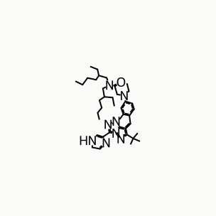 CCCCC(CC)CN(CC(CC)CCCC)C(=O)CN(CC)c1ccc(/C=c2/c(C(C)(C)C)nn3c(C4=CNCC=N4)nnc23)c(C)c1